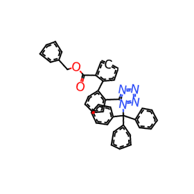 O=C(OCc1ccccc1)c1ccccc1-c1ccccc1-c1nnnn1C(c1ccccc1)(c1ccccc1)c1ccccc1